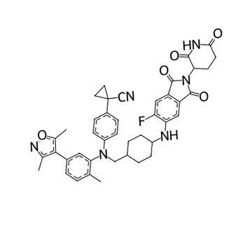 Cc1ccc(-c2c(C)noc2C)cc1N(CC1CCC(Nc2cc3c(cc2F)C(=O)N(C2CCC(=O)NC2=O)C3=O)CC1)c1ccc(C2(C#N)CC2)cc1